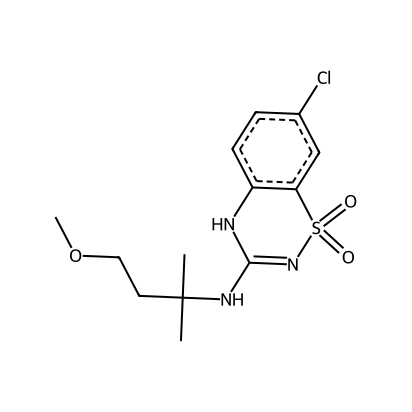 COCCC(C)(C)NC1=NS(=O)(=O)c2cc(Cl)ccc2N1